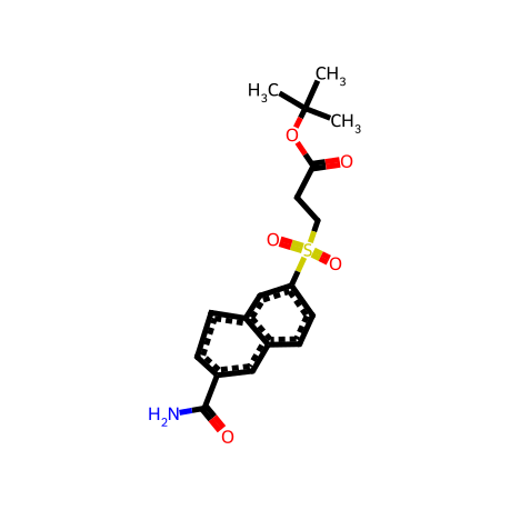 CC(C)(C)OC(=O)CCS(=O)(=O)c1ccc2cc(C(N)=O)ccc2c1